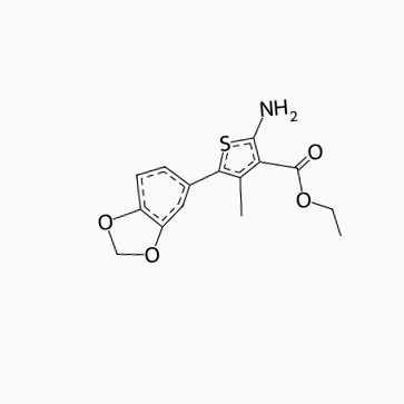 CCOC(=O)c1c(N)sc(-c2ccc3c(c2)OCO3)c1C